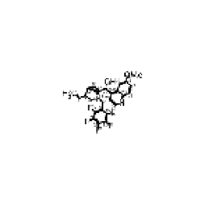 C=CC1C[N+]2(Cc3c(F)c(F)c(F)c(F)c3F)CCC1CC2[C@H](O)c1ccnc2ccc(OC)cc12